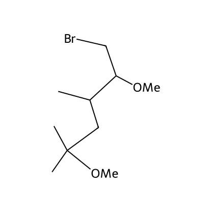 COC(CBr)C(C)CC(C)(C)OC